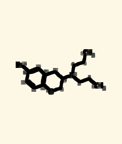 CCCN(CCC)C1COc2ccc(Br)cc2C1